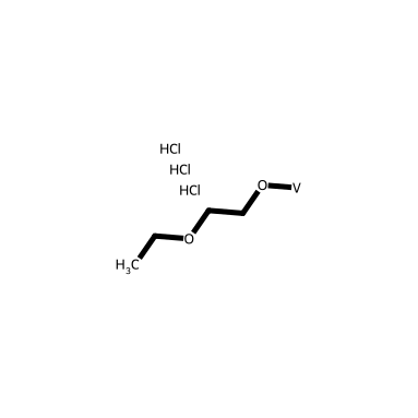 CCOCC[O][V].Cl.Cl.Cl